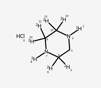 Cl.[2H]N1CC([2H])([2H])N([2H])C([2H])([2H])C1([2H])[2H]